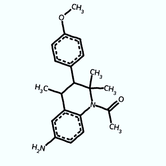 COc1ccc(C2C(C)c3cc(N)ccc3N(C(C)=O)C2(C)C)cc1